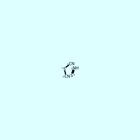 N#CSC#N.N=S